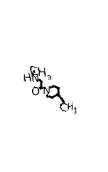 CCC1CCN(C(=O)CNC)CC1